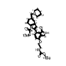 CC(C)(C)OC(=O)NCCOc1ccc(-c2cc3cc(CN4CCCCC4)ccc3n2C(=O)OC(C)(C)C)c2c1CNC2=O